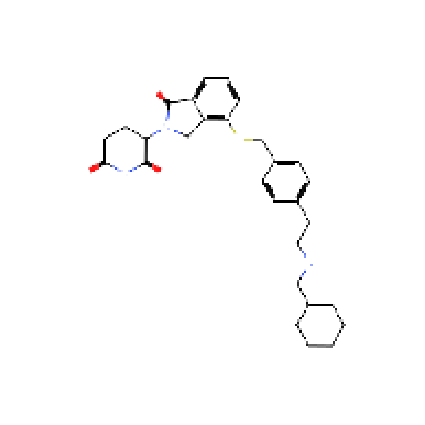 O=C1CCC(N2Cc3c(SCc4ccc(CCNCC5CCCCC5)cc4)cccc3C2=O)C(=O)N1